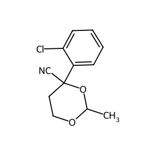 CC1OCCC(C#N)(c2ccccc2Cl)O1